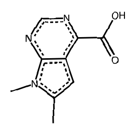 Cc1cc2c(C(=O)O)ncnc2n1C